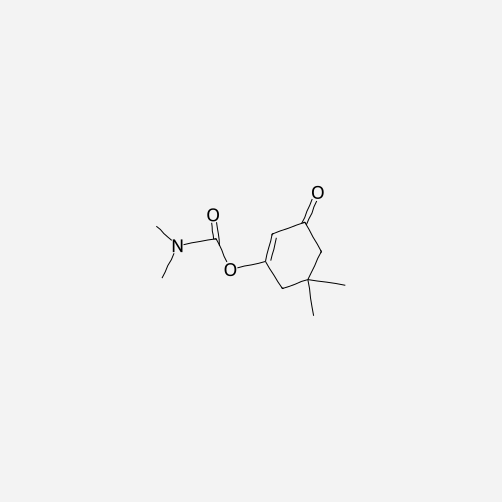 CN(C)C(=O)OC1=CC(=O)CC(C)(C)C1